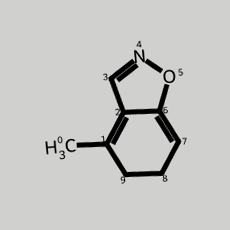 CC1=c2cnoc2=CCC1